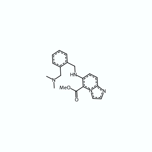 COC(=O)c1c(NCc2ccccc2CN(C)C)ccc2nccn12